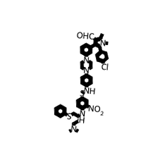 Cc1c(C=O)c(-c2cccc(N3CCN(c4ccc(NSc5ccc(N[C@H](CCN(C)C)CSc6ccccc6)c([N+](=O)[O-])c5)cc4)CC3)c2)c(C2=CC=C(Cl)CC2)n1C